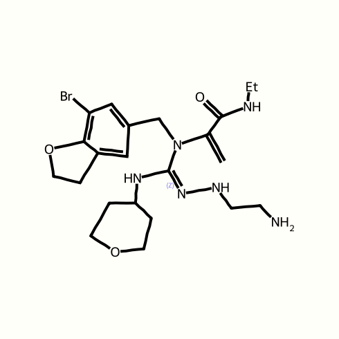 C=C(C(=O)NCC)N(Cc1cc(Br)c2c(c1)CCO2)/C(=N\NCCN)NC1CCOCC1